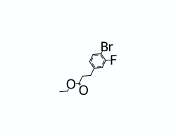 CCOC(=O)CCc1ccc(Br)c(F)c1